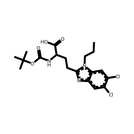 CCCn1c(CCC(NC(=O)OC(C)(C)C)C(=O)O)nc2cc(Cl)c(Cl)cc21